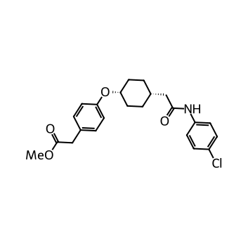 COC(=O)Cc1ccc(O[C@H]2CC[C@@H](CC(=O)Nc3ccc(Cl)cc3)CC2)cc1